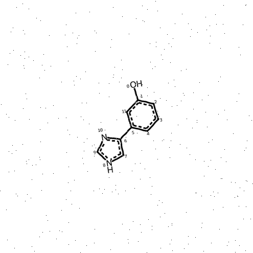 Oc1cccc(-c2c[nH]cn2)c1